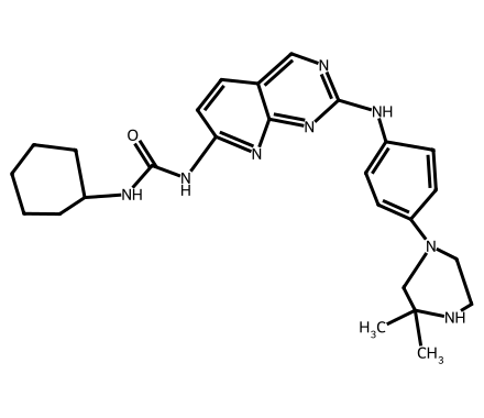 CC1(C)CN(c2ccc(Nc3ncc4ccc(NC(=O)NC5CCCCC5)nc4n3)cc2)CCN1